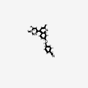 Cc1cc(C(=N)C[C@H](C)N(C)C)c2ccc(OCc3ccc(C#N)cc3)cc2n1